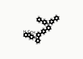 CC1(C)c2ccccc2-c2ccc(-n3c4ccccc4c4cc(-c5ccc(-c6cccc(N(c7ccc(-c8ccccc8)cc7)c7ccc(-c8ccccc8)cc7)c6)cc5)ccc43)cc21